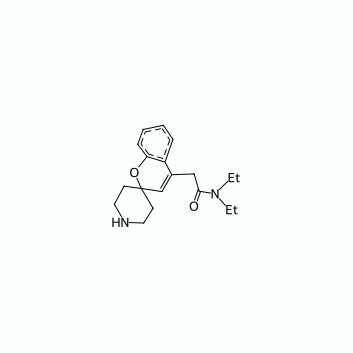 CCN(CC)C(=O)CC1=CC2(CCNCC2)Oc2ccccc21